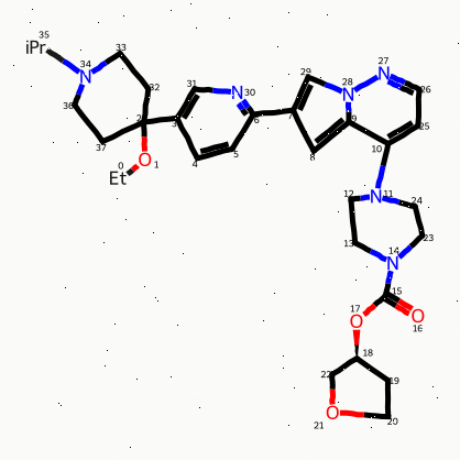 CCOC1(c2ccc(-c3cc4c(N5CCN(C(=O)O[C@H]6CCOC6)CC5)ccnn4c3)nc2)CCN(C(C)C)CC1